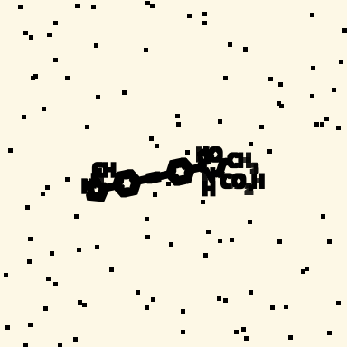 CC(O)C(NC(=O)c1ccc(C#Cc2ccc(-c3ccnn3C)cc2)cc1)C(=O)O